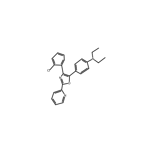 CCN(CC)c1ccc(-c2oc(-c3ccccn3)nc2-c2ccccc2Cl)cc1